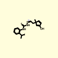 CC(I)c1ccccc1NC(=S)N/N=C\CC1(C)C=CC(O)=C1